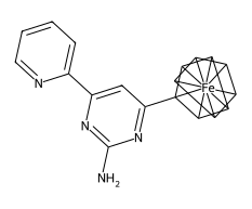 Nc1nc(-c2ccccn2)cc([C]23[CH]4[CH]5[CH]6[CH]2[Fe]56432789[CH]3[CH]2[CH]7[CH]8[CH]39)n1